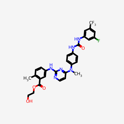 Cc1ccc(Nc2nccc(N(C)c3ccc(NC(=O)Nc4cc(F)cc(C(F)(F)F)c4)cc3)n2)cc1C(=O)OCCO